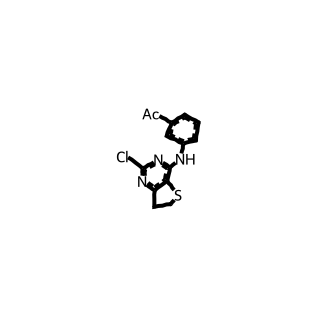 CC(=O)c1cccc(Nc2nc(Cl)nc3c2SCC3)c1